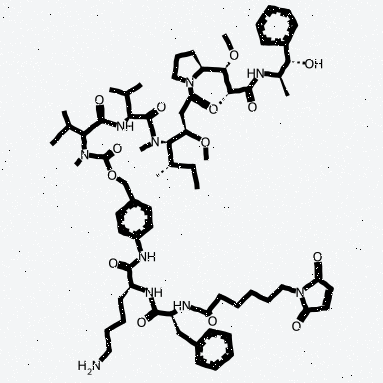 CC[C@H](C)[C@@H]([C@@H](CC(=O)N1CCC[C@H]1[C@H](OC)[C@@H](C)C(=O)N[C@H](C)[C@@H](O)c1ccccc1)OC)N(C)C(=O)[C@@H](NC(=O)C(C(C)C)N(C)C(=O)OCc1ccc(NC(=O)[C@H](CCCCN)NC(=O)[C@H](Cc2ccccc2)NC(=O)CCCCCN2C(=O)C=CC2=O)cc1)C(C)C